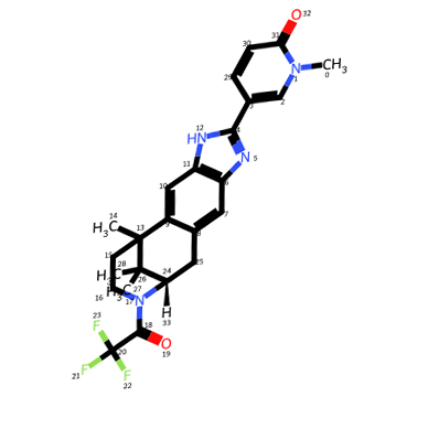 Cn1cc(-c2nc3cc4c(cc3[nH]2)C2(C)CCN(C(=O)C(F)(F)F)[C@@H](C4)C2(C)C)ccc1=O